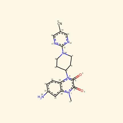 Cn1c(=O)c(=O)n(C2CCN(c3ncc(C#N)cn3)CC2)c2ccc(N)cc21